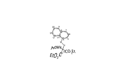 CCOC(=O)C(CCc1cccc2ccccc12)(NC(C)=O)C(=O)OCC